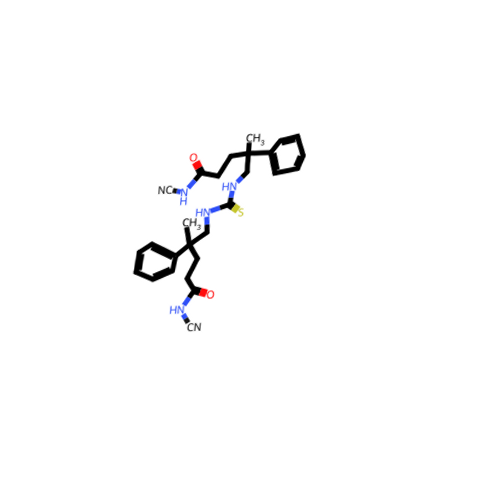 CC(CCC(=O)NC#N)(CNC(=S)NCC(C)(CCC(=O)NC#N)c1ccccc1)c1ccccc1